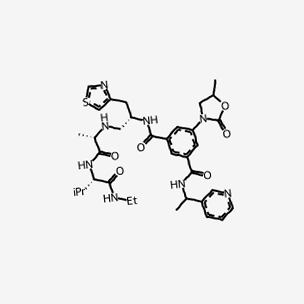 CCNC(=O)[C@@H](NC(=O)[C@H](C)NC[C@H](Cc1cscn1)NC(=O)c1cc(C(=O)NC(C)c2cccnc2)cc(N2CC(C)OC2=O)c1)C(C)C